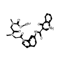 CN(CC(=O)n1ccc2ccc(NC(=O)c3c[nH]c4ccccc4c3=O)cc21)C(=O)CN(C)C(=O)OC(C)(C)C